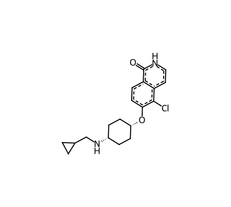 O=c1[nH]ccc2c(Cl)c(O[C@H]3CC[C@@H](NCC4CC4)CC3)ccc12